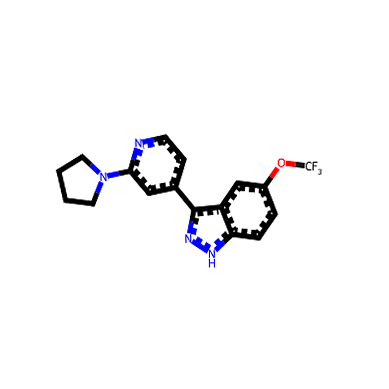 FC(F)(F)Oc1ccc2[nH]nc(-c3ccnc(N4CCCC4)c3)c2c1